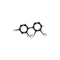 Cc1c(-c2ccc(F)cc2C#N)cccc1[N+](=O)[O-]